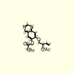 C=CC(COc1cc2ncncc2cc1OC(=O)C(C)(C)C)OC(C)=O